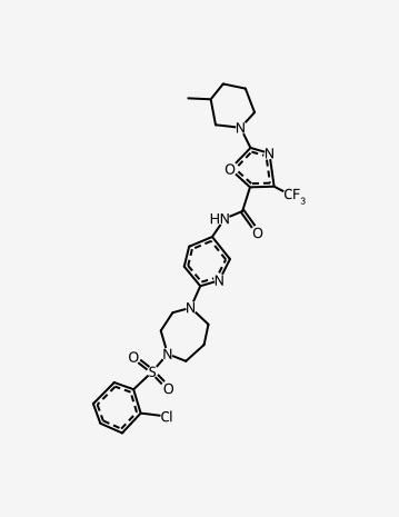 CC1CCCN(c2nc(C(F)(F)F)c(C(=O)Nc3ccc(N4CCCN(S(=O)(=O)c5ccccc5Cl)CC4)nc3)o2)C1